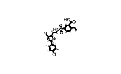 CCc1ccc(S(=O)(=O)NCCc2nc(-c3ccc(Cl)cc3)sc2C)cc1C(=O)O